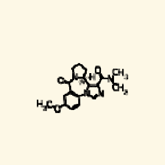 COc1ccc2c(c1)C(=O)N1CCC[C@H]1c1c(C(=O)N(C)C)ncn1-2